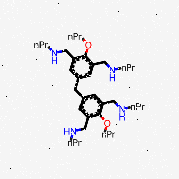 CCCNCc1cc(Cc2cc(CNCCC)c(OCCC)c(CNCCC)c2)cc(CNCCC)c1OCCC